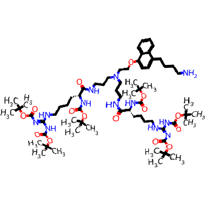 CC(C)(C)OC(=O)/N=C(\NCCCC[C@@H](NC(=O)OC(C)(C)C)C(=O)NCCCN(CCCNC(=O)[C@@H](CCCCN/C(=N\C(=O)OC(C)(C)C)NC(=O)OC(C)(C)C)NC(=O)OC(C)(C)C)CCOc1ccc(CCCCN)c2ccccc12)NC(=O)OC(C)(C)C